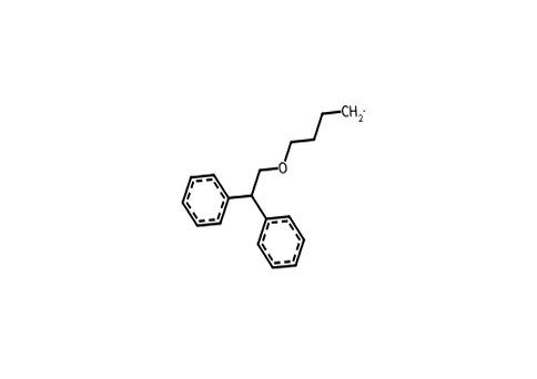 [CH2]CCCOCC(c1ccccc1)c1ccccc1